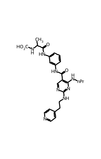 CCCNc1nc(NCCc2ccncc2)ncc1C(=O)Nc1cccc(NC(=O)C(C)NC(=O)O)c1